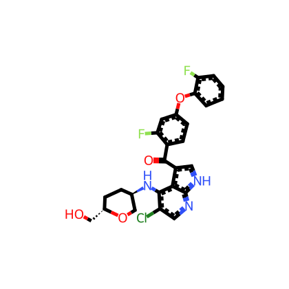 O=C(c1ccc(Oc2ccccc2F)cc1F)c1c[nH]c2ncc(Cl)c(N[C@@H]3CC[C@@H](CO)OC3)c12